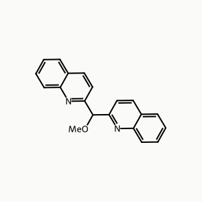 COC(c1ccc2ccccc2n1)c1ccc2ccccc2n1